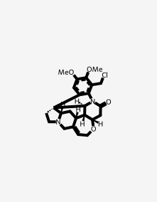 COc1cc2c(c(CCl)c1OC)N1C(=O)C[C@@H]3OCC=C4CN5CC[C@]26[C@@H]5C[C@@H]4[C@@H]3[C@H]16